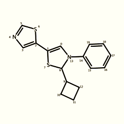 [C]1=C(c2cncs2)SC(C2CCC2)N1c1ccccc1